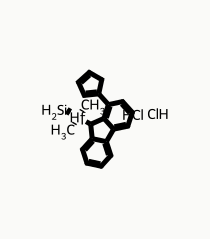 Cl.Cl.[CH3][Hf]([CH3])(=[SiH2])[CH]1c2ccccc2-c2cccc(C3=CC=CC3)c21